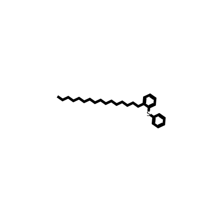 CCCCCCCCCCCCCCCCc1ccccc1Sc1ccccc1